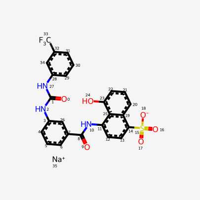 O=C(Nc1cccc(C(=O)Nc2ccc(S(=O)(=O)[O-])c3cccc(O)c23)c1)Nc1cccc(C(F)(F)F)c1.[Na+]